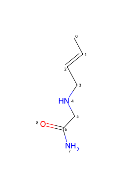 C/C=C/CNCC(N)=O